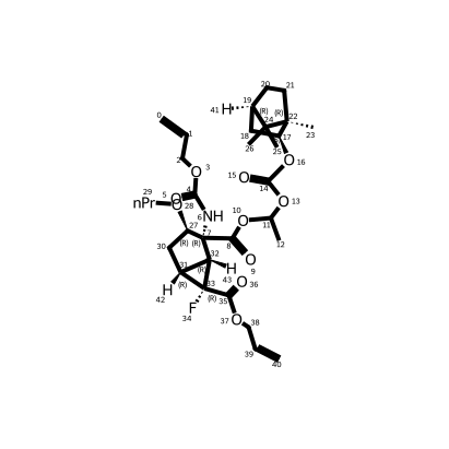 C=CCOC(=O)N[C@@]1(C(=O)OC(C)OC(=O)O[C@H]2C[C@H]3CC[C@]2(C)C3(C)C)[C@H](OCCC)C[C@@H]2[C@H]1[C@@]2(F)C(=O)OCC=C